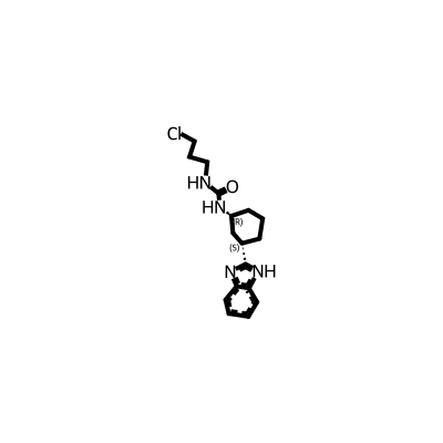 O=C(NCCCCl)N[C@@H]1CCC[C@H](c2nc3ccccc3[nH]2)C1